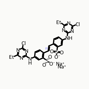 CCc1nc(Cl)nc(Nc2ccc(/C=C/c3ccc(Nc4nc(Cl)nc(CC)n4)cc3S(=O)(=O)[O-])c(S(=O)(=O)[O-])c2)n1.[Na+].[Na+]